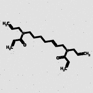 C=CCN(C/C=C/CCCCN(CC=C)C(=O)C=C)C(=O)C=C